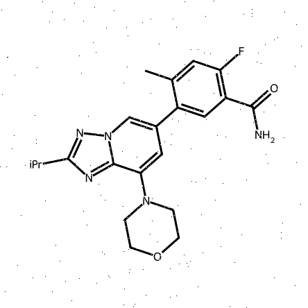 Cc1cc(F)c(C(N)=O)cc1-c1cc(N2CCOCC2)c2nc(C(C)C)nn2c1